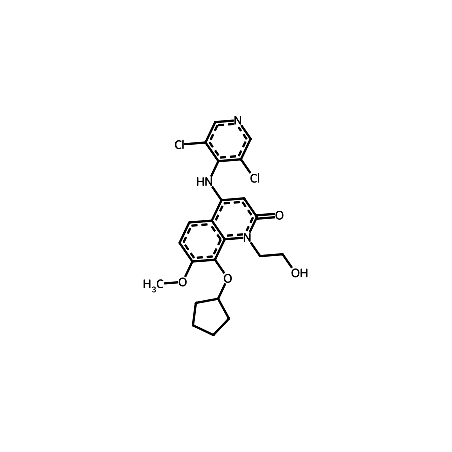 COc1ccc2c(Nc3c(Cl)cncc3Cl)cc(=O)n(CCO)c2c1OC1CCCC1